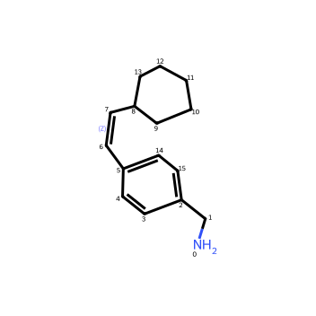 NCc1ccc(/C=C\C2CCCCC2)cc1